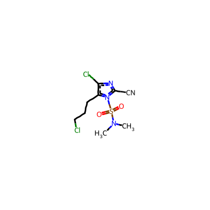 CN(C)S(=O)(=O)n1c(C#N)nc(Cl)c1CCCCl